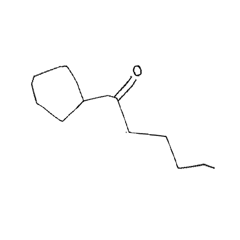 CCC[CH]C(=O)C1CCCC1